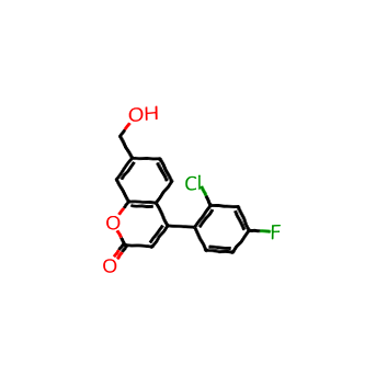 O=c1cc(-c2ccc(F)cc2Cl)c2ccc(CO)cc2o1